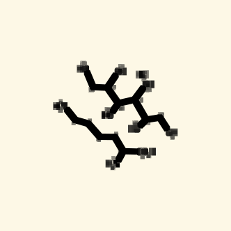 Cl.NCCCCC(N)C(=O)O.OCC(O)C(O)C(O)C(O)CO